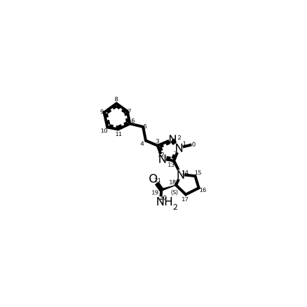 Cn1nc(CCc2ccccc2)nc1N1CCC[C@H]1C(N)=O